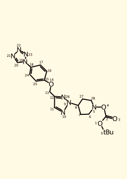 CC(C)(C)OC(=O)ON1CCC(n2ncc(COc3ccc(-n4cnnn4)cc3)n2)CC1